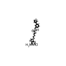 Nc1nc(Cl)nc2c1ncn2CCCCOC(=O)NCc1cccc(-c2ccoc2)c1